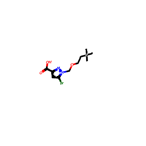 C[Si](C)(C)CCOCn1nc(C(=O)O)cc1Br